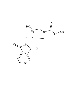 CC(C)(C)OC(=O)N1CC[C@H](CN2C(=O)c3ccccc3C2=O)[C@H](O)C1